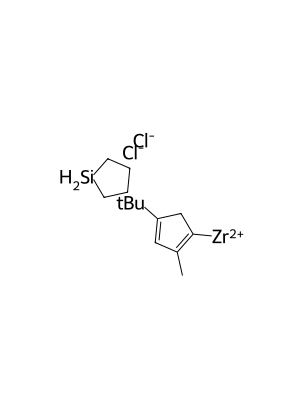 C1CC[SiH2]C1.CC1=[C]([Zr+2])CC(C(C)(C)C)=C1.[Cl-].[Cl-]